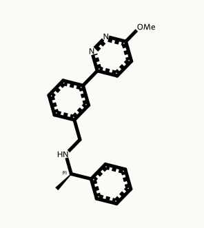 COc1ccc(-c2cccc(CN[C@H](C)c3ccccc3)c2)nn1